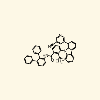 CC(=O)c1c(C(=O)Nc2cccc(-c3ccccc3)c2-c2ccccc2)cccc1-n1c2ccccc2c2cccc(-c3cncc(C#N)c3)c21